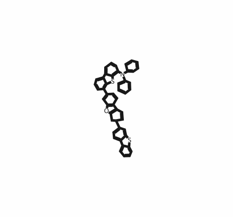 C1=CC(c2ccc3c(c2)sc2ccccc23)Cc2oc3cc(-c4cccc5c4sc4c(N(c6ccccc6)c6ccccc6)cccc45)ccc3c21